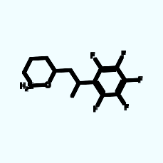 CC(CC1CCC[SiH2]O1)c1c(F)c(F)c(F)c(F)c1F